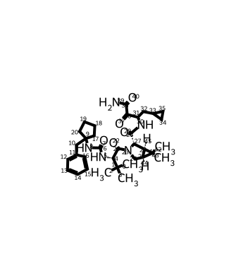 CC(C)(C)[C@H](NC(=O)NC1(Cc2ccccc2)CCCC1)C(=O)N1C[C@H]2[C@@H]([C@H]1C(=O)NC(CC1CC1)C(=O)C(N)=O)C2(C)C